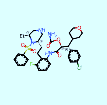 CC[C@H]1CNC[C@H](CCc2c(F)cccc2NC(=O)[C@@H](OC(N)=O)[C@@H](c2ccc(Cl)cc2)C2CCOCC2)N1S(=O)(=O)c1ccccc1